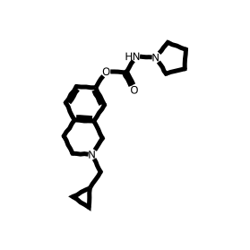 O=C(NN1CCCC1)Oc1ccc2c(c1)CN(CC1CC1)CC2